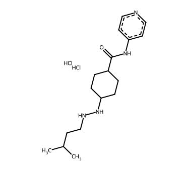 CC(C)CCNNC1CCC(C(=O)Nc2ccncc2)CC1.Cl.Cl